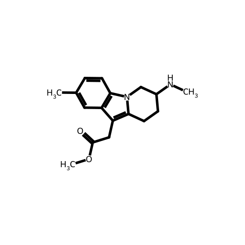 CNC1CCc2c(CC(=O)OC)c3cc(C)ccc3n2C1